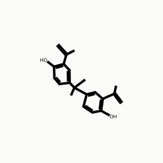 C=C(C)c1cc(C(C)(C)c2ccc(O)c(C(=C)C)c2)ccc1O